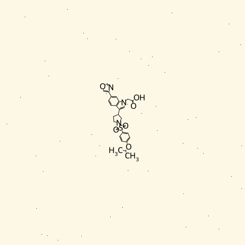 CC(C)Oc1ccc(S(=O)(=O)N2CCC(c3cn(CC(=O)O)c4cc(-c5cocn5)ccc34)C2)cc1